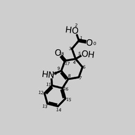 O=C(O)CC1(O)CCc2c([nH]c3ccccc23)C1=O